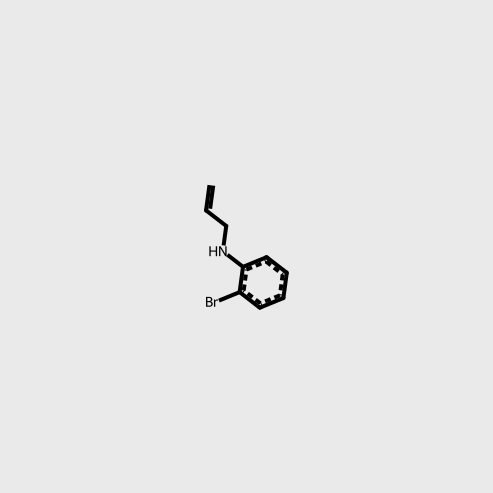 C=CCNc1ccccc1Br